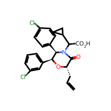 C=CC[C@@H]1O[C@@H](c2cccc(Cl)c2)[C@@H](c2ccc(Cl)cc2)N(C(C(=O)O)C2CC2)C1=O